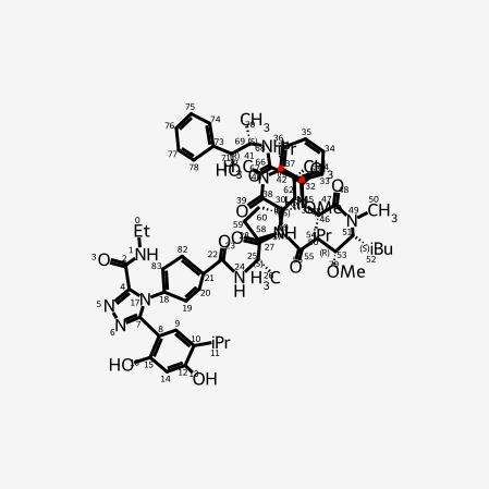 CCNC(=O)c1nnc(-c2cc(C(C)C)c(O)cc2O)n1-c1ccc(C(=O)N[C@@H](C)C(=O)N[C@@H](Cc2ccccc2)C(=O)N(C)[C@@H](C(=O)N[C@H](C(=O)N(C)C([C@@H](C)CC)[C@@H](CC(=O)N2CCC[C@@H]2[C@@H](OC)[C@@H](C)C(=O)N[C@@H](C)[C@H](O)c2ccccc2)OC)C(C)C)C(C)C)cc1